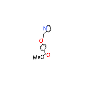 COC(=O)c1ccc(OCCc2ccccn2)cc1